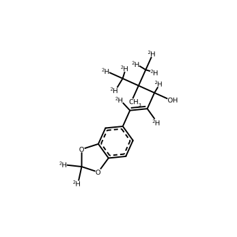 [2H]/C(=C(/[2H])C([2H])(O)C(C)(C([2H])([2H])[2H])C([2H])([2H])[2H])c1ccc2c(c1)OC([2H])([2H])O2